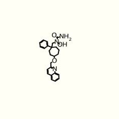 NC(=O)N(O)CC1(c2ccccc2)CCCC(OCc2ccc3ccccc3n2)CC1